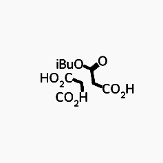 CC(C)COC(=O)CC(=O)O.O=C(O)CC(=O)O